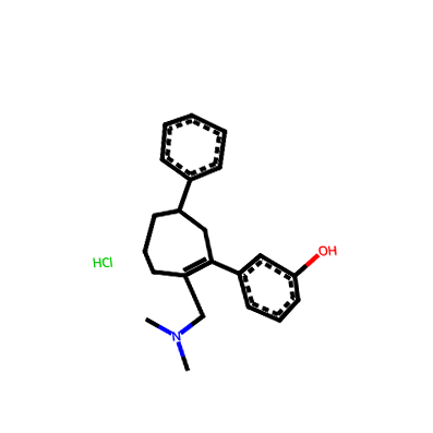 CN(C)CC1=C(c2cccc(O)c2)CC(c2ccccc2)CCC1.Cl